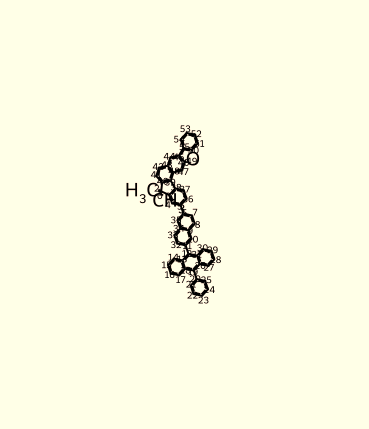 CC1(C)c2cc(-c3ccc4cc(-c5c6ccccc6c(-c6ccccc6)c6ccccc56)ccc4c3)ccc2-c2c1ccc1cc3c(cc21)oc1ccccc13